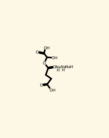 O=C(O)CCC(=O)OC(O)C(=O)O.[NaH].[NaH].[NaH]